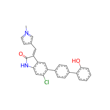 Cn1ccc(C=C2C(=O)Nc3cc(Cl)c(-c4ccc(-c5ccccc5O)cc4)cc32)c1